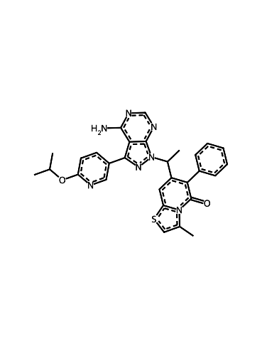 Cc1csc2cc(C(C)n3nc(-c4ccc(OC(C)C)nc4)c4c(N)ncnc43)c(-c3ccccc3)c(=O)n12